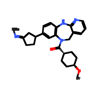 CON=C1CCC(c2ccc3c(c2)N(C(=O)[C@H]2CC[C@H](OC(C)C)CC2)Cc2cccnc2N3)C1